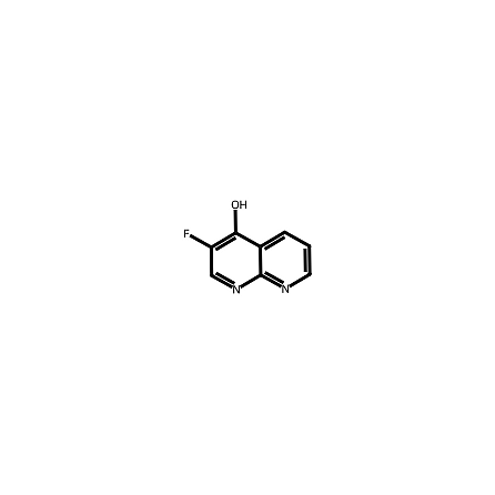 Oc1c(F)cnc2ncccc12